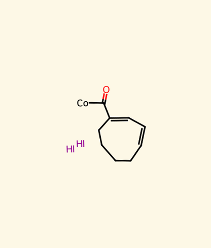 I.I.O=[C]([Co])C1=CC=CCCCC1